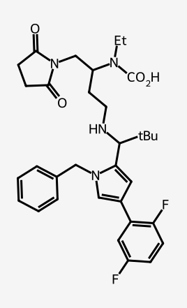 CCN(C(=O)O)C(CCNC(c1cc(-c2cc(F)ccc2F)cn1Cc1ccccc1)C(C)(C)C)CN1C(=O)CCC1=O